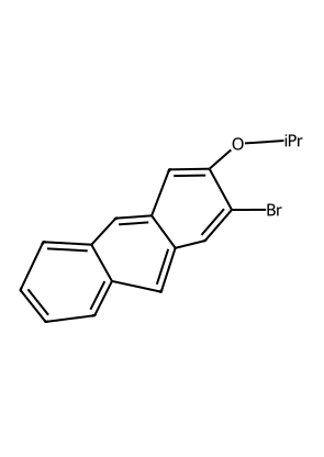 CC(C)Oc1cc2cc3ccccc3cc2cc1Br